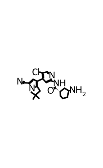 CC1(C)Cc2c(-c3cc(NC(=O)[C@H]4CCC[C@@H](N)C4)ncc3Cl)cc(C#N)n2C1